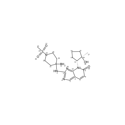 BC1(Nc2ncc3ccc(=O)n([C@@H]4CCC[C@@]4(C)O)c3n2)CCN(S(C)(=O)=O)CC1